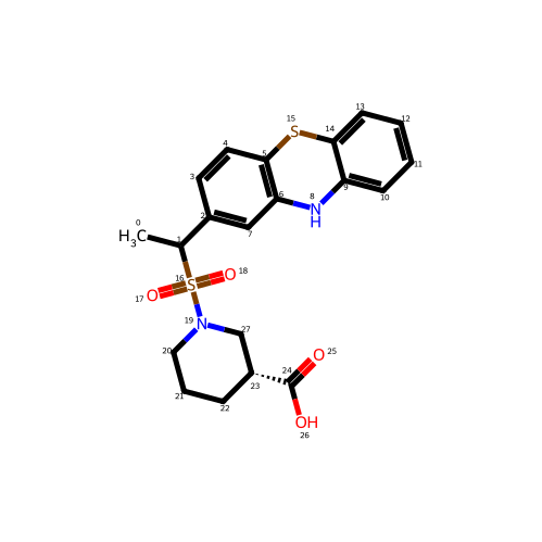 CC(c1ccc2c(c1)Nc1ccccc1S2)S(=O)(=O)N1CCC[C@@H](C(=O)O)C1